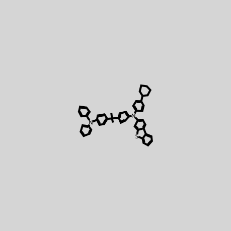 CC(C)(c1ccc(N(c2ccccc2)c2ccccc2)cc1)c1ccc(N(c2ccc(C3CCCCC3)cc2)c2ccc3c(c2)sc2ccccc23)cc1